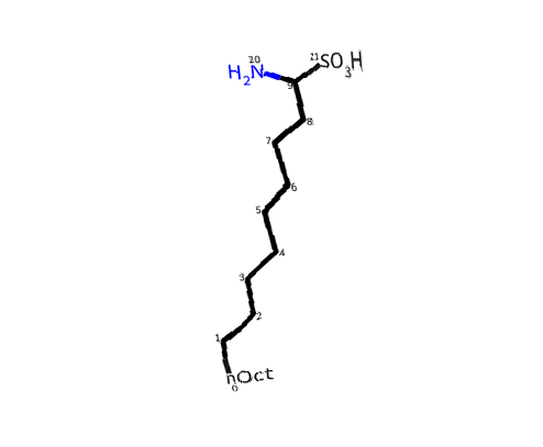 CCCCCCCCCCCCCCCCC(N)S(=O)(=O)O